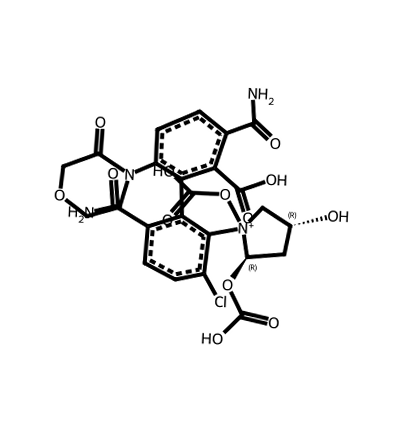 NC(=O)c1ccc(N2CCOCC2=O)c(-c2c(C(N)=O)ccc(Cl)c2[N+]2(OC(=O)O)C[C@H](O)C[C@H]2OC(=O)O)c1C(=O)O